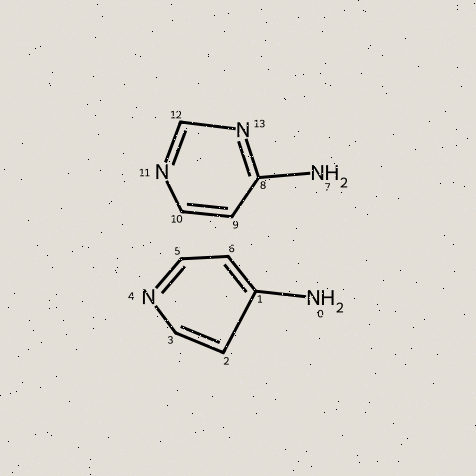 Nc1ccncc1.Nc1ccncn1